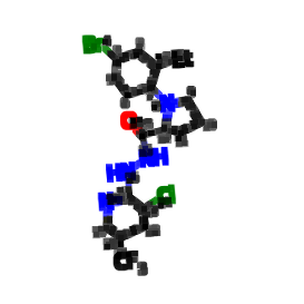 CCc1cc(Br)ccc1-n1cccc1C(=O)NNc1ncc(C(F)(F)F)cc1Cl